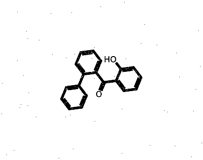 O=C(c1ccccc1O)c1ccccc1-c1ccccc1